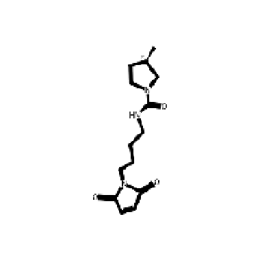 C[C@@H]1CCN(C(=O)NCCCCN2C(=O)C=CC2=O)C1